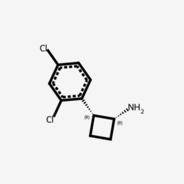 N[C@@H]1CC[C@@H]1c1ccc(Cl)cc1Cl